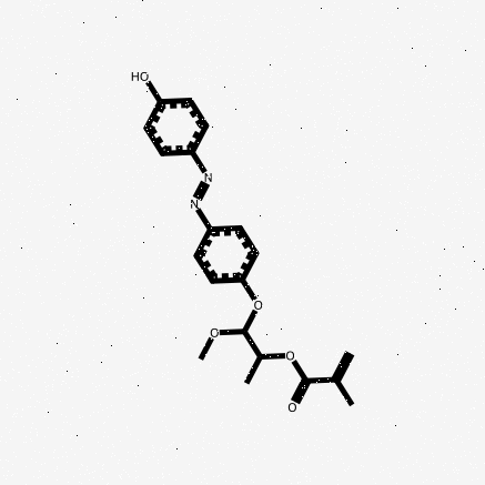 C=C(C)C(=O)OC(C)C(OC)Oc1ccc(N=Nc2ccc(O)cc2)cc1